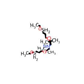 CCO[SiH2]CCCOC(C)(C)CNCC(C)(C)OCCC[SiH2]OCC